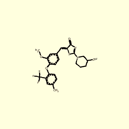 COc1cc(/C=C2\SC(N3CCCC(O)C3)=NC2=O)ccc1Oc1ccc(C)cc1C(F)(F)F